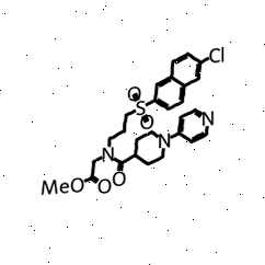 COC(=O)CN(CCCS(=O)(=O)c1ccc2cc(Cl)ccc2c1)C(=O)C1CCN(c2ccncc2)CC1